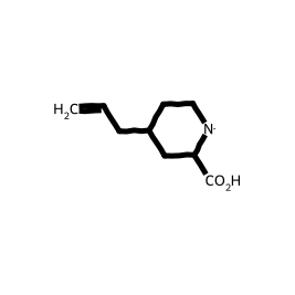 C=CCC1CC[N]C(C(=O)O)C1